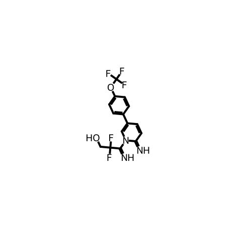 N=C(n1cc(-c2ccc(OC(F)(F)F)cc2)ccc1=N)C(F)(F)CO